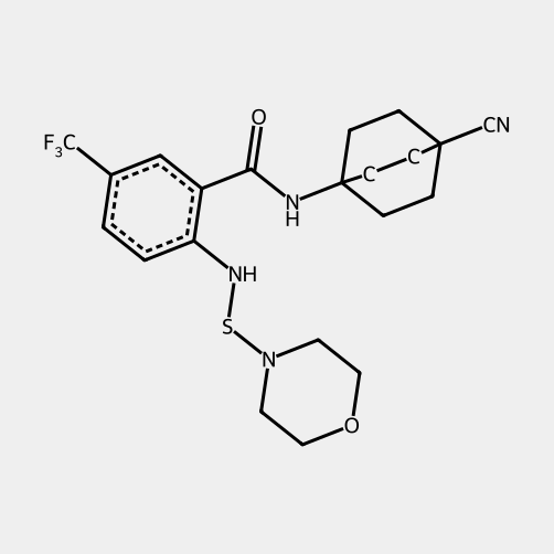 N#CC12CCC(NC(=O)c3cc(C(F)(F)F)ccc3NSN3CCOCC3)(CC1)CC2